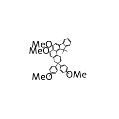 COc1ccc(C2(c3ccc(OC)cc3)C=Cc3c(cc(OC)c4c(OC)cc5c(c34)C(C)(C)c3ccccc3-5)C2)cc1